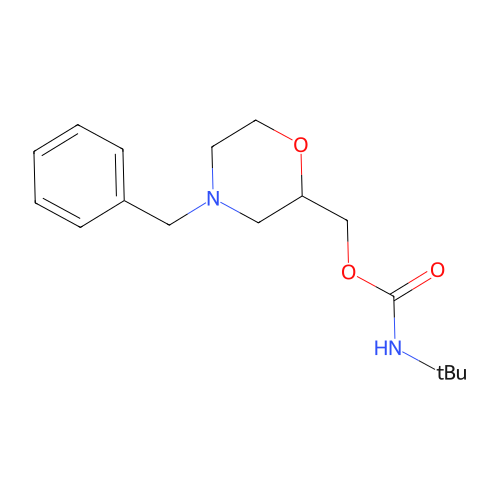 CC(C)(C)NC(=O)OCC1CN(Cc2ccccc2)CCO1